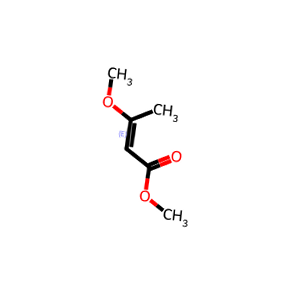 COC(=O)/C=C(\C)OC